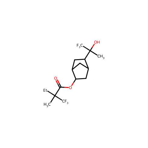 CCC(C)(C(=O)OC1CC2CC1CC2C(C)(O)C(F)(F)F)C(F)(F)F